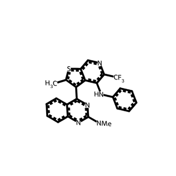 CNc1nc(-c2c(C)sc3cnc(C(F)(F)F)c(Nc4ccccc4)c23)c2ccccc2n1